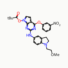 COCCN1CCc2cc(Nc3nc(Oc4cccc([N+](=O)[O-])c4)c4ccn(OC(=O)C(C)(C)C)c4n3)ccc21